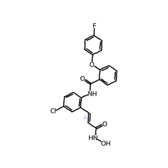 O=C(/C=C/c1cc(Cl)ccc1NC(=O)c1ccccc1Oc1ccc(F)cc1)NO